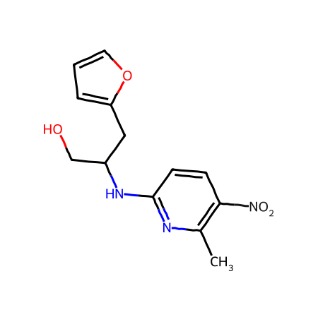 Cc1nc(NC(CO)Cc2ccco2)ccc1[N+](=O)[O-]